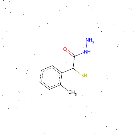 Cc1ccccc1C(S)C(=O)NN